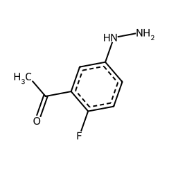 CC(=O)c1cc(NN)ccc1F